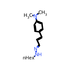 CCCCCCNN=CC=Cc1ccc(N(C)C)cc1